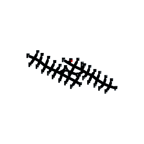 CO[Si](OC)(C(F)(C(F)(F)F)C(F)(F)C(F)(F)C(F)(F)C(F)(F)C(F)(F)C(F)(F)F)C(F)(C(F)(F)F)C(F)(F)C(F)(F)C(F)(F)C(F)(F)C(F)(F)C(F)(F)F